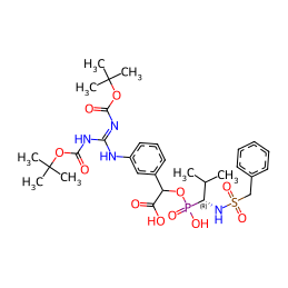 CC(C)[C@H](NS(=O)(=O)Cc1ccccc1)P(=O)(O)OC(C(=O)O)c1cccc(NC(=NC(=O)OC(C)(C)C)NC(=O)OC(C)(C)C)c1